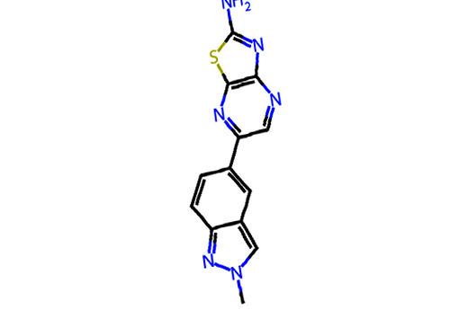 Cn1cc2cc(-c3cnc4nc(N)sc4n3)ccc2n1